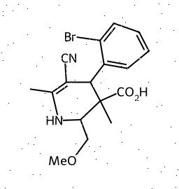 COCC1NC(C)=C(C#N)C(c2ccccc2Br)C1(C)C(=O)O